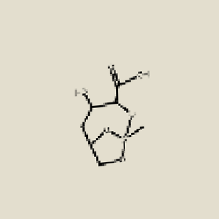 C[Si]12OCC(CC(O)C(C(=O)O)O1)O2